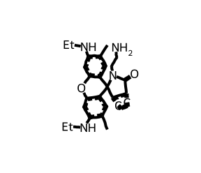 CCNc1cc2c(cc1C)C1(c3cc(C)c(NCC)cc3O2)c2ccccc2C(=O)N1CCN